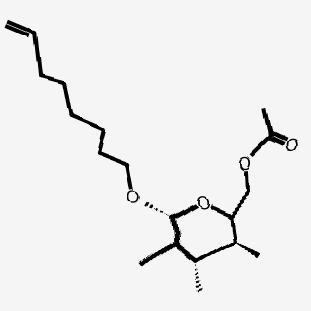 C=CCCCCCCO[C@@H]1OC(COC(C)=O)[C@@H](C)[C@H](C)C1C